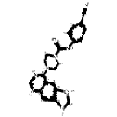 N#Cc1ccc(NC(=O)N2CCN(c3ncnc4cc5c(cc34)OCO5)CC2)cc1